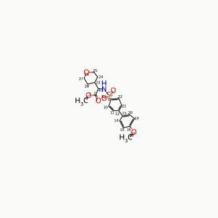 COC(=O)C(NS(=O)(=O)c1ccc(-c2ccc(OC)cc2)cc1)C1CCOCC1